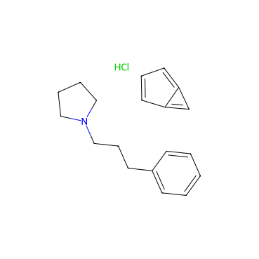 Cl.c1cc2cc-2c1.c1ccc(CCCN2CCCC2)cc1